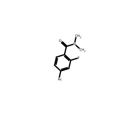 CC(=O)c1ccc(C(=O)N(C)C)c(F)c1